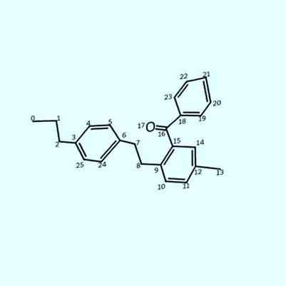 CCCc1ccc(CCc2ccc(C)cc2C(=O)c2ccccc2)cc1